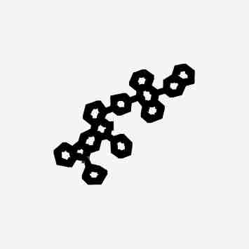 c1ccc(-c2nc3c(-c4ccc(-c5c6ccccc6c(-c6ccc7ccccc7c6)c6ccccc56)cc4)cccc3c3cc4c5ccccc5n(-c5ccccc5)c4cc23)cc1